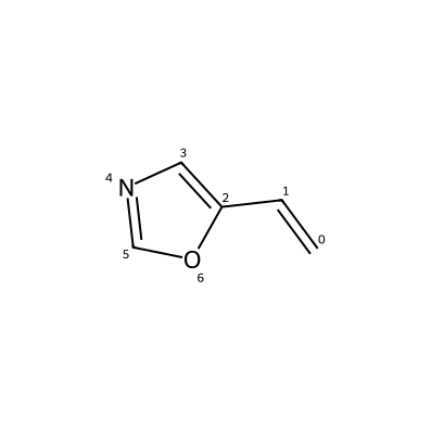 C=Cc1cnco1